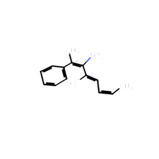 C\C=C/C=C(C)/C(N)=C(/C)c1ccccc1